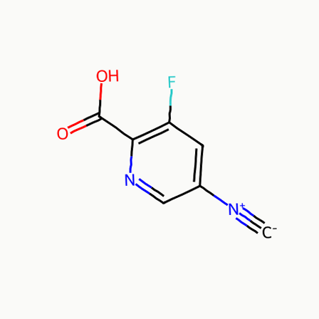 [C-]#[N+]c1cnc(C(=O)O)c(F)c1